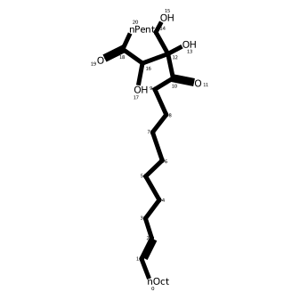 CCCCCCCCC=CCCCCCCCC(=O)C(O)(CO)C(O)C(=O)CCCCC